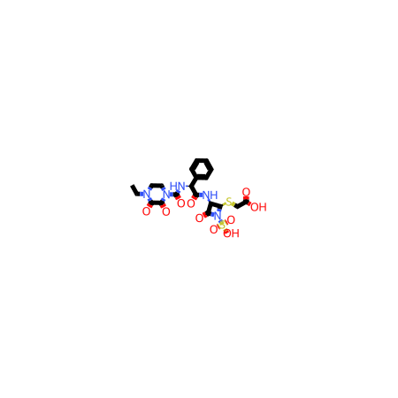 CCN1CCN(C(=O)N[C@@H](C(=O)N[C@@H]2C(=O)N(S(=O)(=O)O)[C@@H]2SCC(=O)O)c2ccccc2)C(=O)C1=O